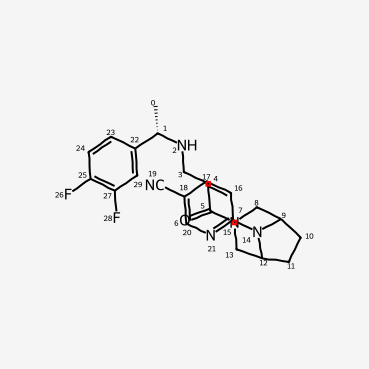 C[C@H](NCCC(=O)N1CC2CCC(C1)N2c1ccc(C#N)cn1)c1ccc(F)c(F)c1